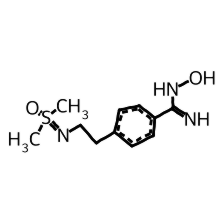 CS(C)(=O)=NCCc1ccc(C(=N)NO)cc1